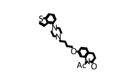 CC(=O)N1C(=O)CCc2ccc(OCCCCN3CCN(c4cccc5sccc45)CC3)cc21